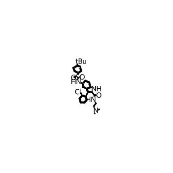 CN(C)CCNC(=O)c1[nH]c2ccc(NS(=O)(=O)c3ccc(C(C)(C)C)cc3)cc2c1-c1ccccc1Cl